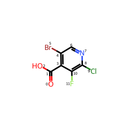 O=C(O)c1c(Br)cnc(Cl)c1F